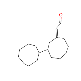 O=CC=C1CCCCCC(C2CCCCCCC2)C1